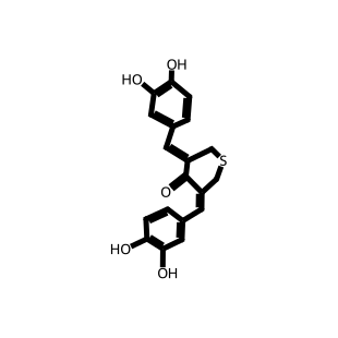 O=C1C(=Cc2ccc(O)c(O)c2)CSCC1=Cc1ccc(O)c(O)c1